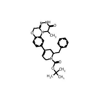 CC1C(=O)NN=C2COc3ccc(C4=CCN(C(=O)OC(C)(C)C)C(Cc5ccccc5)C4)cc3N21